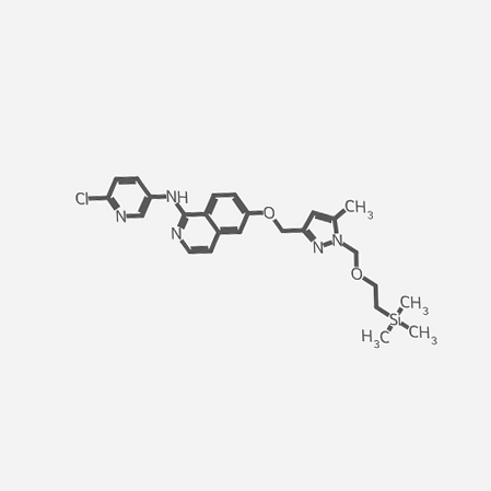 Cc1cc(COc2ccc3c(Nc4ccc(Cl)nc4)nccc3c2)nn1COCC[Si](C)(C)C